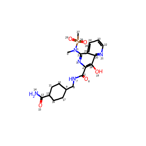 CN(c1nc(C(=O)NCC2CCC(C(N)=O)CC2)c(O)c2ncccc12)S(C)(=O)=O